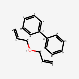 C=CCOCC=C.c1ccc(-c2ccccc2)cc1